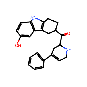 O=C(C1CCc2[nH]c3ccc(O)cc3c2C1)C1CC(c2ccccc2)=CCN1